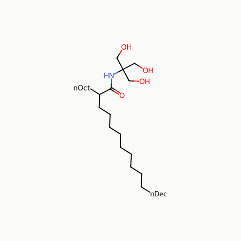 CCCCCCCCCCCCCCCCCCCC(CCCCCCCC)C(=O)NC(CO)(CO)CO